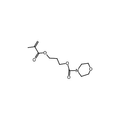 C=C(C)C(=O)OCCCOC(=O)N1CCOCC1